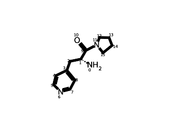 N[C@H](Cc1ccncc1)C(=O)N1CCCC1